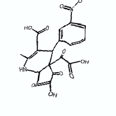 CC1=C(C(=O)O)C(c2cccc([N+](=O)[O-])c2)C(C(=O)C(=O)O)(C(=O)C(=O)O)C(C)N1